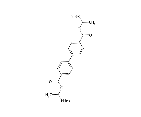 CCCCCCC(C)OC(=O)c1ccc(-c2ccc(C(=O)OC(C)CCCCCC)cc2)cc1